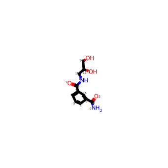 NC(=O)c1cccc(C(=O)NCC(O)CO)c1